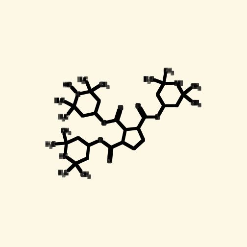 CC1(C)CC(OC(=O)C2CCC(C(=O)OC3CC(C)(C)NC(C)(C)C3)C2C(=O)OC2CC(C)(C)N(O)C(C)(C)C2)CC(C)(C)N1